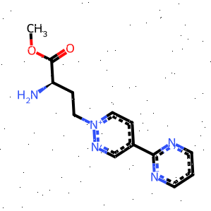 COC(=O)[C@H](N)CC[n+]1ccc(-c2ncccn2)cn1